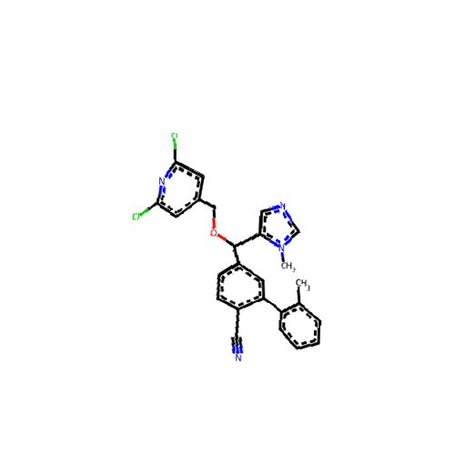 Cc1ccccc1-c1cc(C(OCc2cc(Cl)nc(Cl)c2)c2cncn2C)ccc1C#N